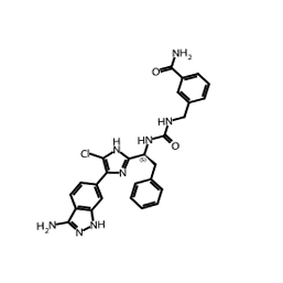 NC(=O)c1cccc(CNC(=O)N[C@@H](Cc2ccccc2)c2nc(-c3ccc4c(N)n[nH]c4c3)c(Cl)[nH]2)c1